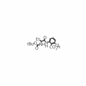 CCC(NC(=O)OC(C)(C)C)C(=O)Nc1cccc(Cl)c1C(=O)O